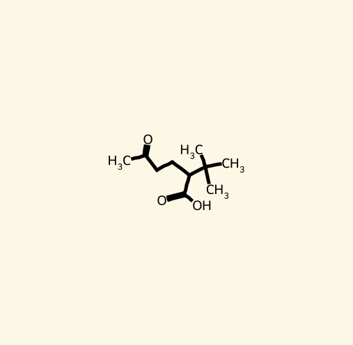 CC(=O)CCC(C(=O)O)C(C)(C)C